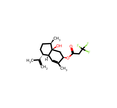 C=C(C)[C@@H]1CC[C@@H](C)[C@]2(O)[C][C@@H](OC(=O)CC(F)(F)F)C(C)=C[C@@H]12